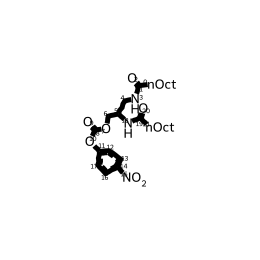 CCCCCCCCC(=O)NCC(COC(=O)Oc1ccc([N+](=O)[O-])cc1)NC(=O)CCCCCCCC